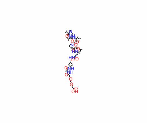 CC[C@H](C)[C@@H]([C@@H](CC(=O)N1CCC[C@H]1[C@H](OC)[C@@H](C)C(=O)N[C@H](/C=C/C(=O)NOCc1ccc(NC(=O)[C@@H](C)NC(=O)CCOCCOCCC(=O)O)cc1)CC(C)C)OC)N(C)C(=O)[C@@H](NC(=O)[C@H](C(C)C)N(C)C)C(C)C